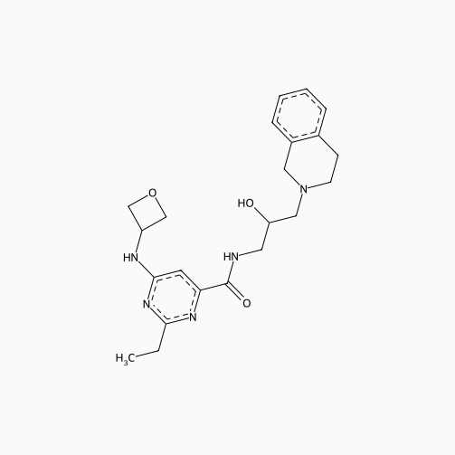 CCc1nc(NC2COC2)cc(C(=O)NCC(O)CN2CCc3ccccc3C2)n1